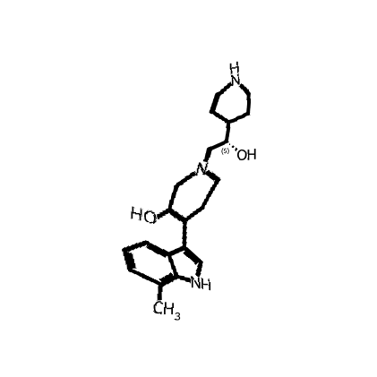 Cc1cccc2c(C3CCN(C[C@@H](O)C4CCNCC4)CC3O)c[nH]c12